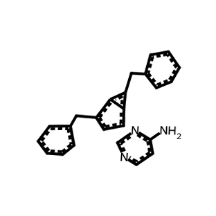 Nc1ccncn1.c1ccc(Cc2ccc3c(Cc4ccccc4)c2-3)cc1